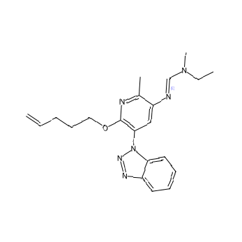 C=CCCCOc1nc(C)c(/N=C/N(C)CC)cc1-n1nnc2ccccc21